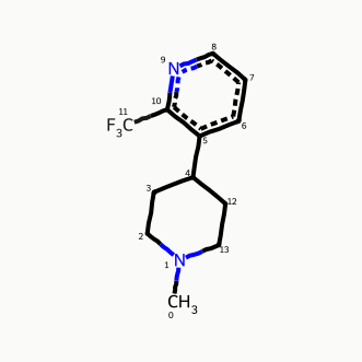 CN1CCC(c2cccnc2C(F)(F)F)CC1